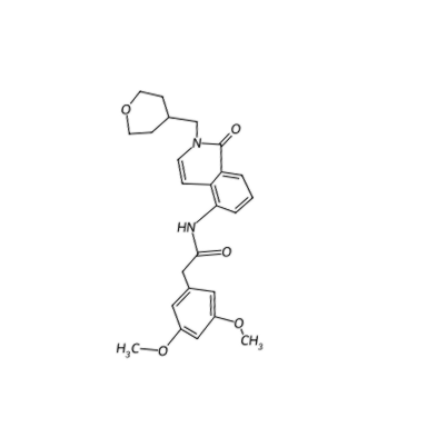 COc1cc(CC(=O)Nc2cccc3c(=O)n(CC4CCOCC4)ccc23)cc(OC)c1